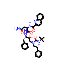 CC(C)(C)NC(=O)N(CCc1ccccc1)CC(O)[C@H](Cc1ccccc1)NC(=O)C(CC(N)=O)NC(=O)c1ccc2ccccc2n1